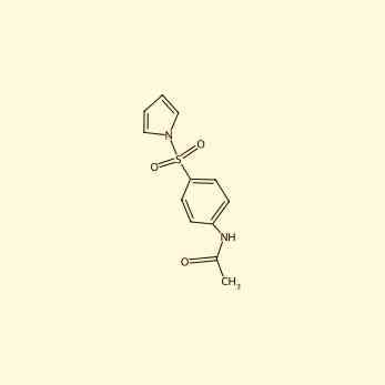 CC(=O)Nc1ccc(S(=O)(=O)n2cccc2)cc1